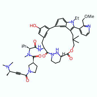 CCn1c(-c2cccnc2COC)c2c3cc(ccc31)-c1cc(O)cc(c1)C[C@H](NC(=O)[C@H](C(C)C)N(C)C(=O)[C@H]1CCN(C(=O)C#C[C@@H](C)N(C)C)C1)C(=O)N1CCC[C@H](N1)C(=O)OCC(C)(C)C2